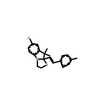 Cc1ccc(/C=C/C23SCCN2c2ccc(Cl)cc2C3(C)C)cc1